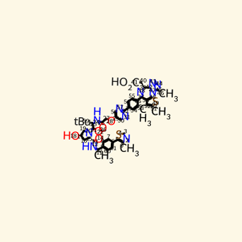 Cc1ncsc1-c1ccc(C(C)NC(=O)[C@@H]2C[C@@H](O)CN2C(=O)C(NC(=O)COc2cnc(-c3ccc(C4=N[C@@H](CC(=O)O)c5nnc(C)n5-c5sc(C)c(C)c54)cc3)nc2)C(C)(C)C)cc1